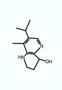 Cc1c(C(C)C)cnc2c1NCCC2O